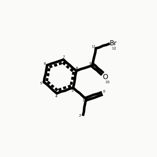 C=C(C)c1ccccc1C(=O)CBr